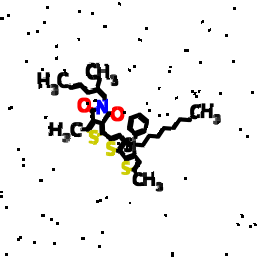 CCCCCCCC[Si]1(c2ccccc2)c2cc(C)sc2-c2sc(-c3sc(C)c4c3C(=O)N(CC(CC)CCCC)C4=O)cc21